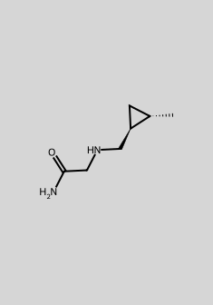 C[C@H]1C[C@@H]1CNCC(N)=O